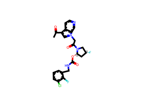 CC(=O)c1cn(CC(=O)N2C[C@H](F)C[C@@H]2OC(=O)NCc2cccc(Cl)c2F)c2cnccc12